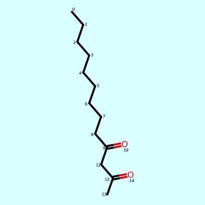 CCCCCCCCCC(=O)CC(C)=O